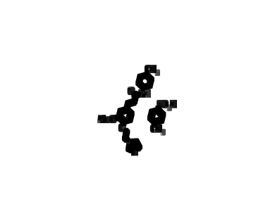 COc1cc(/C=C/C(=O)N[C@H]2CC[C@H](C)CC2)ccc1OCCn1ccnc1.Cc1ccc(S(=O)(=O)O)cc1